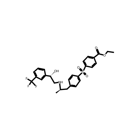 CCOC(=O)c1ccc(S(=O)(=O)c2ccc(C[C@@H](C)NC[C@@H](O)c3cccc(C(F)(F)F)c3)cc2)cc1